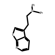 CC(C)N(CCc1csc2ncccc12)C(C)C